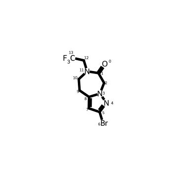 O=C1Cn2nc(Br)cc2CCN1CC(F)(F)F